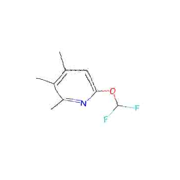 Cc1cc(OC(F)F)nc(C)c1C